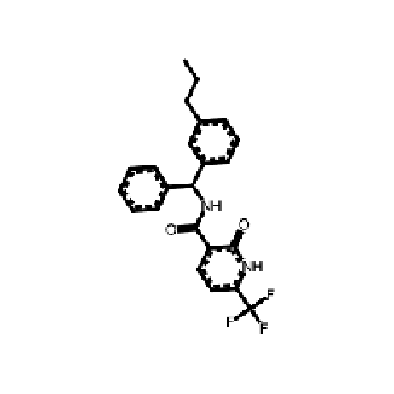 CCCc1cccc(C(NC(=O)c2ccc(C(F)(F)F)[nH]c2=O)c2ccccc2)c1